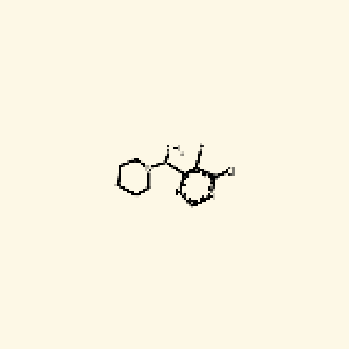 CC(c1ncnc(Cl)c1F)N1CC[CH]CC1